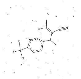 CC(c1ccc(C(F)(F)Cl)nc1)[N+](C#N)=S(C)[O-]